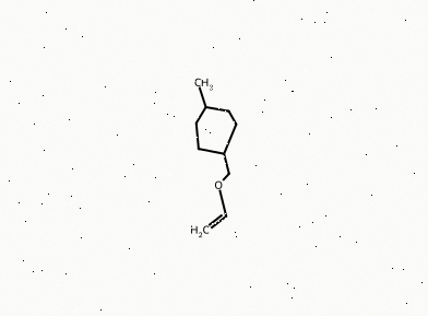 C=COCC1CCC(C)CC1